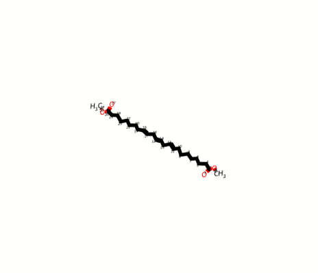 COC(=O)CCCCCCC/C=C/C/C=C/C/C=C/CCCCCCCC(=O)OC